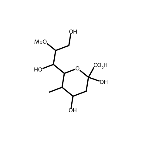 COC(CO)C(O)C1OC(O)(C(=O)O)CC(O)C1C